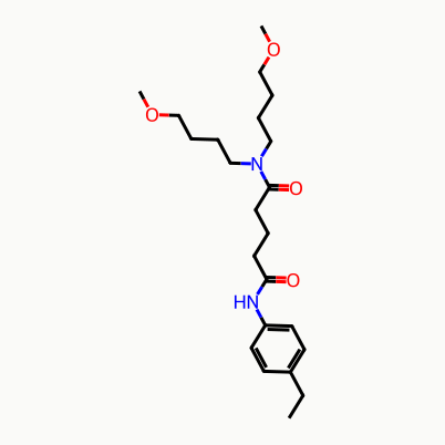 CCc1ccc(NC(=O)CCCC(=O)N(CCCCOC)CCCCOC)cc1